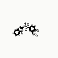 O=[N+]([O-])c1cc(S(=O)(=O)Nc2nc3ccccc3[nH]2)ccc1Cl